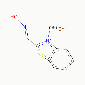 CCCC[n+]1c(C=NO)sc2ccccc21.[Br-]